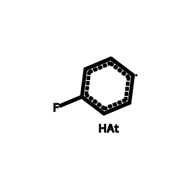 Fc1cc[c]cc1.[AtH]